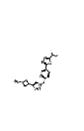 CCCCN1CC(c2cn(Cc3ccc(-c4nnc(C(F)F)o4)cn3)nn2)C1